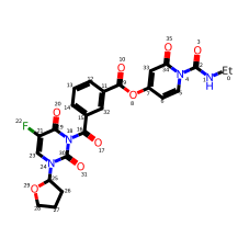 CCNC(=O)n1ccc(OC(=O)c2cccc(C(=O)n3c(=O)c(F)cn(C4CCCO4)c3=O)c2)cc1=O